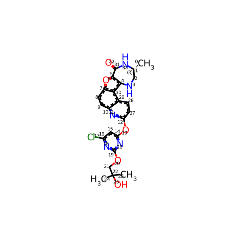 C[C@@H]1CNc2c(oc3ccc4nc(Oc5cc(Cl)nc(OCC(C)(C)O)n5)ccc4c23)C(=O)N1